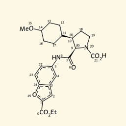 CCOC(=O)c1cc2cc(NC(=O)[C@H]3[C@@H](C4CCC(OC)CC4)CCN3C(=O)O)ccc2o1